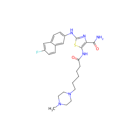 CN1CCN(CCCCCC(=O)Nc2sc(Nc3ccc4cc(F)ccc4c3)nc2C(N)=O)CC1